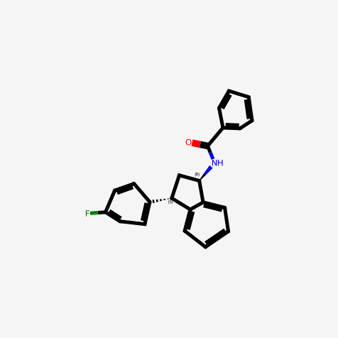 O=C(N[C@@H]1C[C@@H](c2ccc(F)cc2)c2ccccc21)c1ccccc1